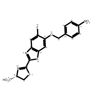 O=C(O)[C@H]1CSC(c2nc3cc(F)c(OCc4ccc([N+](=O)[O-])cc4)cc3s2)=N1